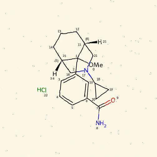 COC1(c2cccc(C(N)=O)c2)[C@@H]2CCC[C@H]1CN(C1CC1)C2.Cl